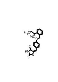 CCC(O)c1ccccc1COc1ccc(C=C2SC(=S)NC2=O)cc1